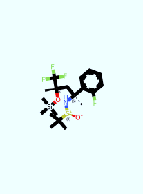 CC(C)(C)[S@+]([O-])N[C@@](C)(C[C@](C)(O[Si](C)(C)C)C(F)(F)F)c1ccccc1F